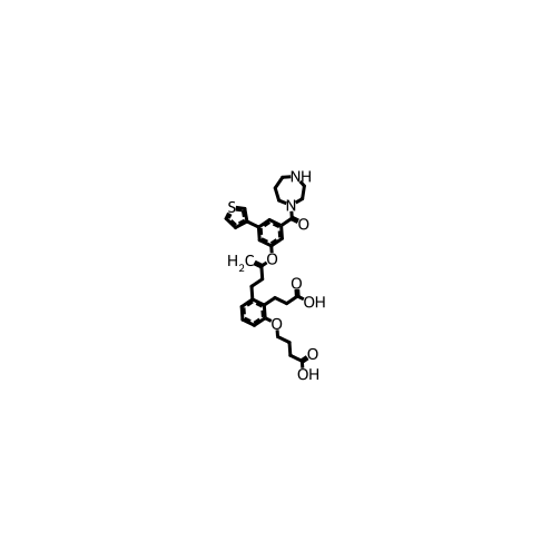 C=C(CCc1cccc(OCCCC(=O)O)c1CCC(=O)O)Oc1cc(C(=O)N2CCCNCC2)cc(-c2ccsc2)c1